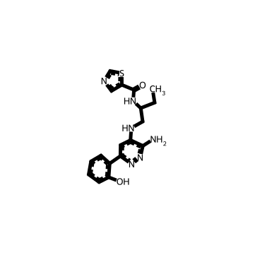 CCC(CNc1cc(-c2ccccc2O)nnc1N)NC(=O)c1cncs1